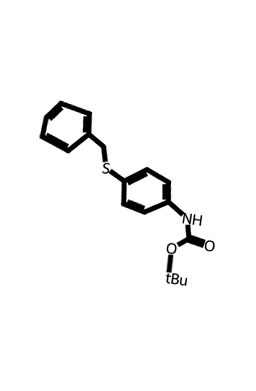 CC(C)(C)OC(=O)Nc1ccc(SCc2ccccc2)cc1